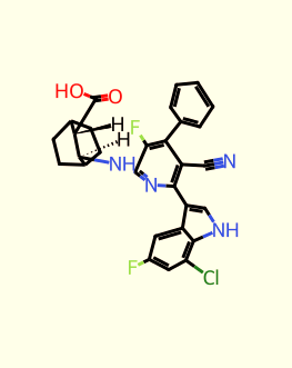 N#Cc1c(-c2c[nH]c3c(Cl)cc(F)cc23)nc(N[C@H]2C3CCC(CC3)[C@@H]2C(=O)O)c(F)c1-c1ccccc1